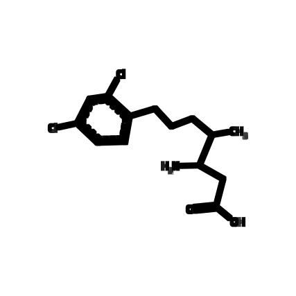 CC(CCCc1ccc(Cl)cc1Cl)C(N)CC(=O)O